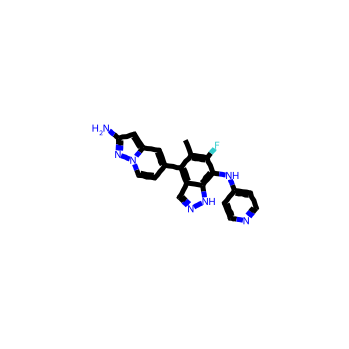 Cc1c(F)c(Nc2ccncc2)c2[nH]ncc2c1-c1ccn2nc(N)cc2c1